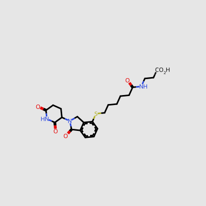 O=C(O)CCNC(=O)CCCCCSc1cccc2c1CN(C1CCC(=O)NC1=O)C2=O